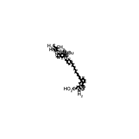 Cc1[nH]nc(Nc2ncnc3cc(OCC4CCN(CCCCCCCCCCc5cccc6c5CN(C(CCC(=O)O)C(N)=O)C6=O)CC4)c(S(=O)(=O)C(C)(C)C)cc23)c1C